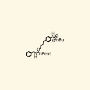 CCCCCC(NCc1ccccc1)OCCCCc1ccc(NS(=O)(=O)CCCC)cc1